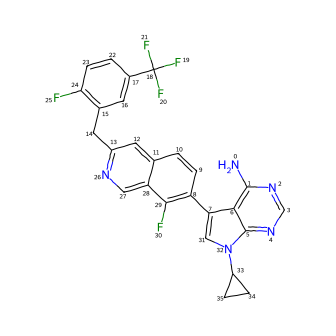 Nc1ncnc2c1c(-c1ccc3cc(Cc4cc(C(F)(F)F)ccc4F)ncc3c1F)cn2C1CC1